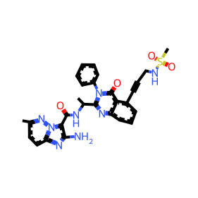 Cc1ccc2nc(N)c(C(=O)NC(C)c3nc4cccc(C#CCNS(C)(=O)=O)c4c(=O)n3-c3ccccc3)n2n1